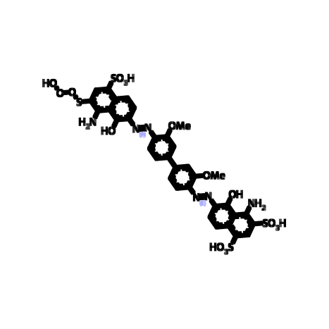 COc1cc(-c2ccc(/N=N/c3ccc4c(S(=O)(=O)O)cc(S(=O)(=O)O)c(N)c4c3O)c(OC)c2)ccc1/N=N/c1ccc2c(S(=O)(=O)O)cc(SOOO)c(N)c2c1O